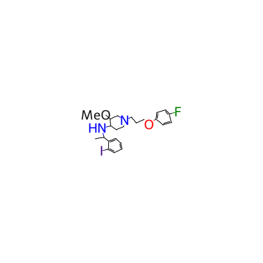 COC1CN(CCCOc2ccc(F)cc2)CCC1NC(C)c1ccccc1I